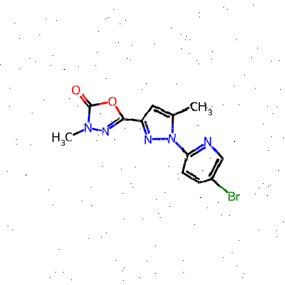 Cc1cc(-c2nn(C)c(=O)o2)nn1-c1ccc(Br)cn1